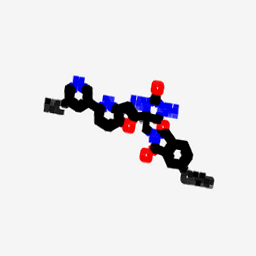 COc1ccc2c(c1)C(=O)N(C[C@@]1(c3cc4nc(-c5cncc(C#N)c5)ccc4o3)NC(=O)NC1=O)C2